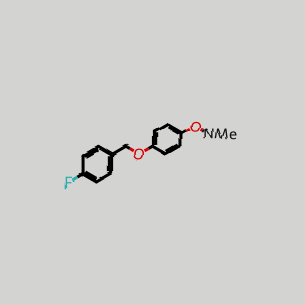 CNOc1ccc(OCc2ccc(F)cc2)cc1